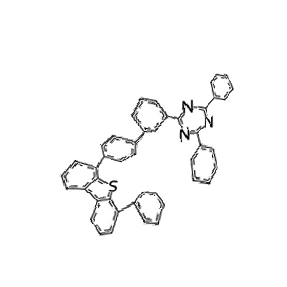 c1ccc(-c2nc(-c3ccccc3)nc(-c3cccc(-c4ccc(-c5cccc6c5sc5c(-c7ccccc7)cccc56)cc4)c3)n2)cc1